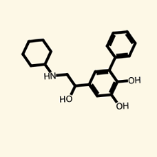 Oc1cc(C(O)CNC2CCCCC2)cc(-c2ccccc2)c1O